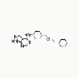 c1ccc(CCOC[C@H]2CC[C@H](Nc3ncnc4[nH]ncc34)CC2)cc1